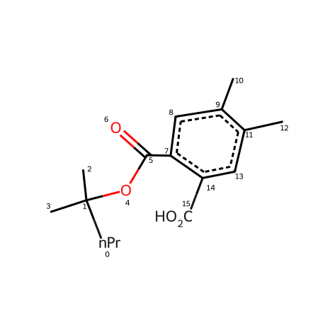 CCCC(C)(C)OC(=O)c1cc(C)c(C)cc1C(=O)O